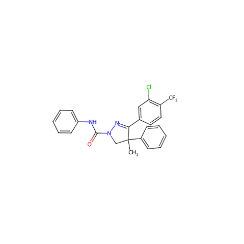 CC1(c2ccccc2)CN(C(=O)Nc2ccccc2)N=C1c1ccc(C(F)(F)F)c(Cl)c1